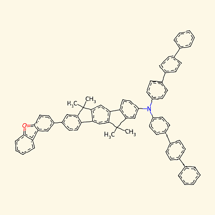 CC1(C)c2cc(-c3ccc4oc5ccccc5c4c3)ccc2-c2cc3c(cc21)-c1ccc(N(c2ccc(-c4ccc(-c5ccccc5)cc4)cc2)c2ccc(-c4ccc(-c5ccccc5)cc4)cc2)cc1C3(C)C